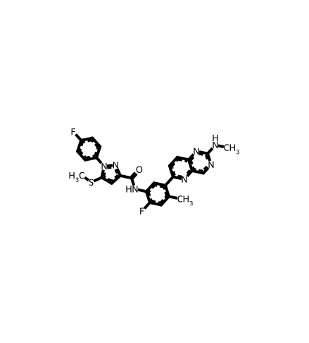 CNc1ncc2nc(-c3cc(NC(=O)c4cc(SC)n(-c5ccc(F)cc5)n4)c(F)cc3C)ccc2n1